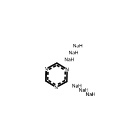 [NaH].[NaH].[NaH].[NaH].[NaH].[NaH].c1ncncn1